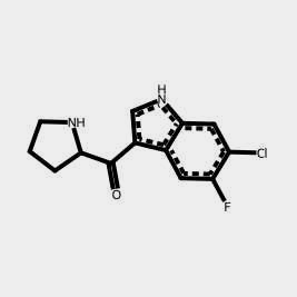 O=C(c1c[nH]c2cc(Cl)c(F)cc12)C1CCCN1